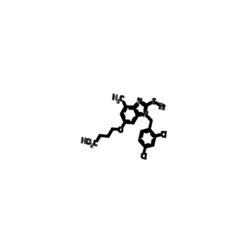 CCSc1nc2c(C)cc(OCCCC(=O)O)cc2n1Cc1ccc(Cl)cc1Cl